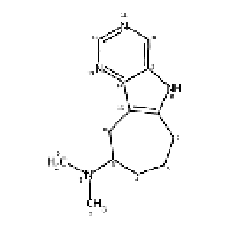 CN(C)C1CCCc2[nH]c3cncnc3c2C1